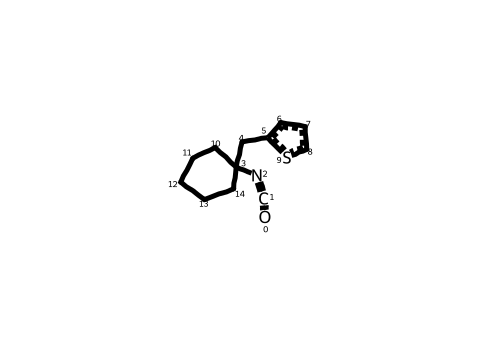 O=C=NC1(Cc2cccs2)CCCCC1